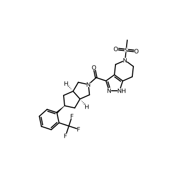 CS(=O)(=O)N1CCc2[nH]nc(C(=O)N3C[C@H]4C[C@@H](c5ccccc5C(F)(F)F)C[C@H]4C3)c2C1